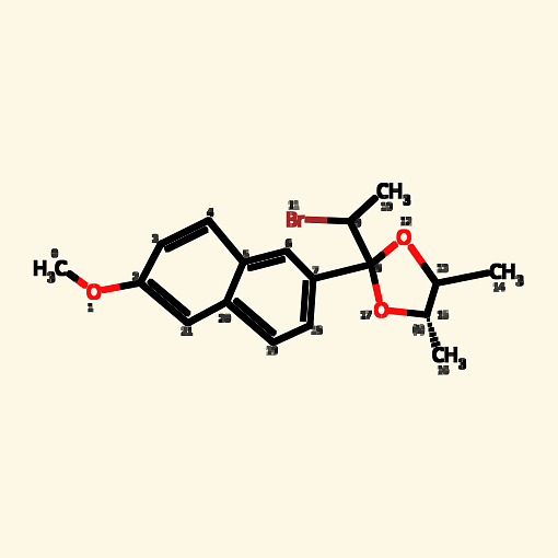 COc1ccc2cc(C3(C(C)Br)OC(C)[C@H](C)O3)ccc2c1